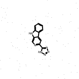 c1ccc2c(c1)[nH]c1cnc(-c3nnn[nH]3)cc12